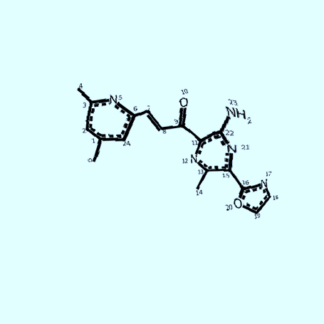 Cc1cc(C)nc(/C=C/C(=O)c2nc(C)c(-c3ncco3)nc2N)c1